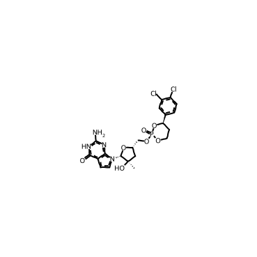 C[C@@]1(O)C[C@@H](COP2(=O)OCC[C@H](c3ccc(Cl)c(Cl)c3)O2)O[C@H]1n1ccc2c(=O)[nH]c(N)nc21